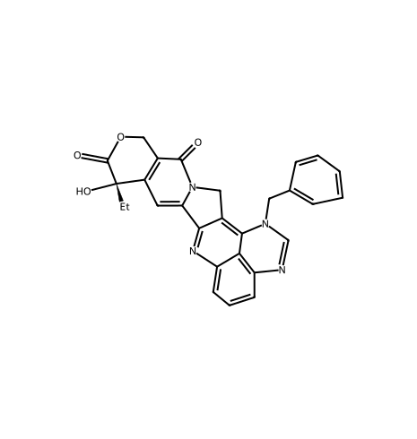 CC[C@@]1(O)C(=O)OCc2c1cc1n(c2=O)Cc2c-1nc1cccc3c1c2N(Cc1ccccc1)C=N3